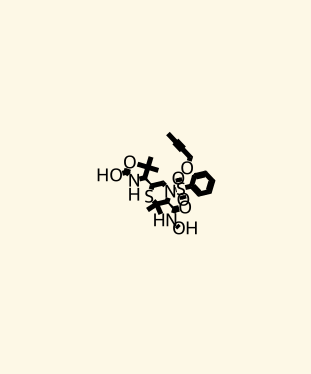 CC#CCOc1ccccc1S(=O)(=O)N1C[C@H](C(NC(=O)O)C(C)(C)C)SC(C)(C)[C@@H]1C(=O)NO